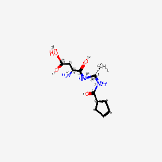 C[C@H](NC(=O)C1CCCC1)NC(=O)[C@@H](N)CC(=O)O